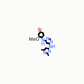 COc1cc(Br)ccc1Nc1cc(Nc2cc(C)nc(C)n2)ncn1